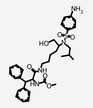 COC(=O)NC(C(=O)NCCCCC(CO)N(CC(C)C)S(=O)(=O)c1ccc(N)cc1)C(c1ccccc1)c1ccccc1